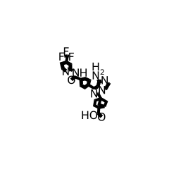 Nc1nccn2c(C34CCC(C(=O)O)=C(C3)C4)nc(-c3ccc(C(=O)Nc4cc(C(F)(F)F)ccn4)cc3)c12